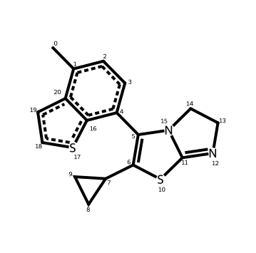 Cc1ccc(C2=C(C3CC3)SC3=NCCN32)c2sccc12